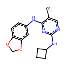 FC(F)(F)c1cnc(NC2CCC2)nc1Nc1ccc2c(c1)OCO2